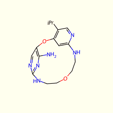 CC(C)c1cnc2cc1Oc1cnc(nc1N)NCCOCCN2